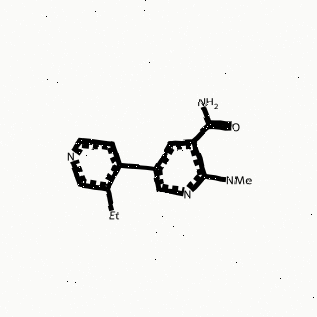 CCc1cnccc1-c1cnc(NC)c(C(N)=O)c1